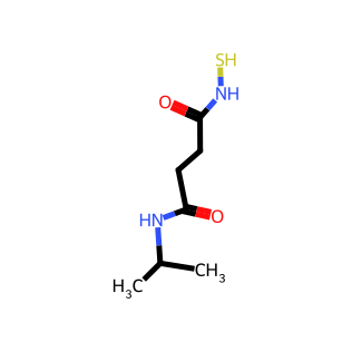 CC(C)NC(=O)CCC(=O)NS